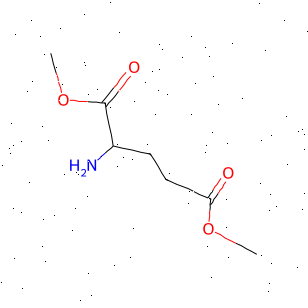 COC(=O)CCC(N)C(=O)OC